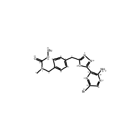 CN(Cc1ccc(Cc2nnc(-c3nc(Br)cnc3N)o2)cc1)C(=O)OC(C)(C)C